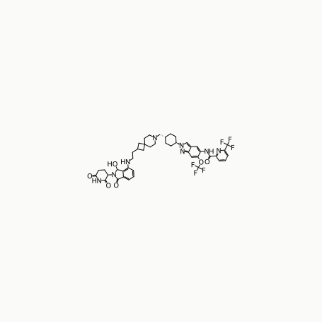 O=C1CCC(N2C(=O)c3cccc(NCCC4CC5(CCN(C[C@H]6CC[C@H](n7cc8cc(NC(=O)c9cccc(C(F)(F)F)n9)c(OC(F)(F)F)cc8n7)CC6)CC5)C4)c3C2O)C(=O)N1